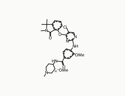 COc1cc(C(=O)NC2CCN(C)C[C@H]2OC)ccc1Nc1ncc(Cl)c(Oc2cccc3c2C(=O)N(C)C3(C)C)n1